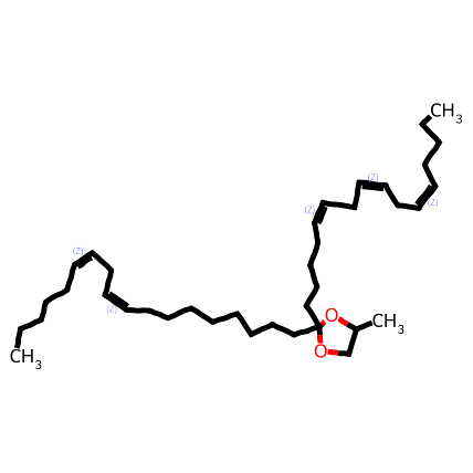 CCCC/C=C\C/C=C\C/C=C\CCCCC1(CCCCCCCC/C=C\C/C=C\CCCCC)OCC(C)O1